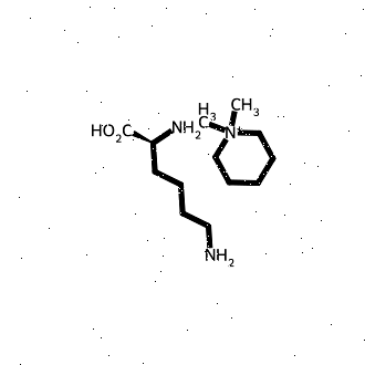 C[N+]1(C)CCCCC1.NCCCC[C@H](N)C(=O)O